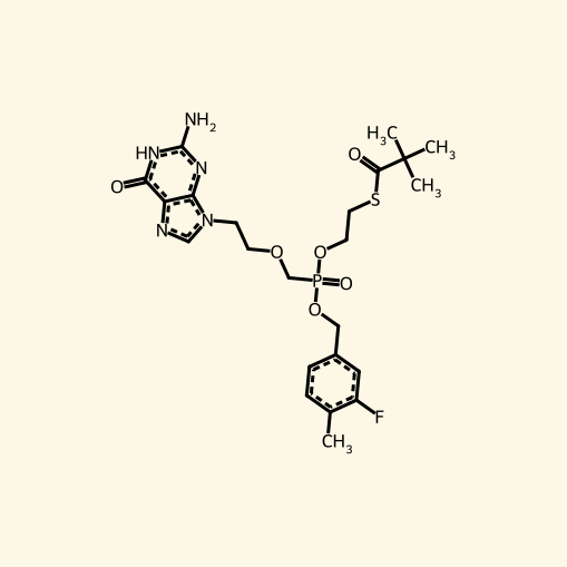 Cc1ccc(COP(=O)(COCCn2cnc3c(=O)[nH]c(N)nc32)OCCSC(=O)C(C)(C)C)cc1F